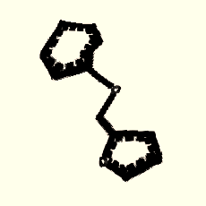 [c]1ccccc1OCc1ccco1